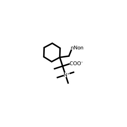 CCCCCCCCCCC1(C(C)(C(=O)[O-])[N+](C)(C)C)CCCCC1